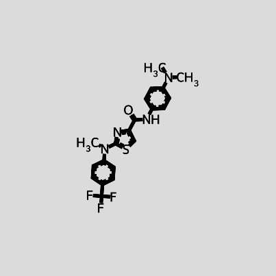 CN(C)c1ccc(NC(=O)c2csc(N(C)c3ccc(C(F)(F)F)cc3)n2)cc1